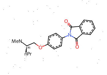 CCC[C@H](COc1ccc(N2C(=O)c3ccccc3C2=O)cc1)NC